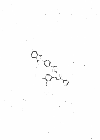 O=C1c2ccccc2C(=O)N1c1ccc(-c2csc(N3N=C(c4cccs4)CC3c3ccc(CO)c(CO)c3)n2)cc1